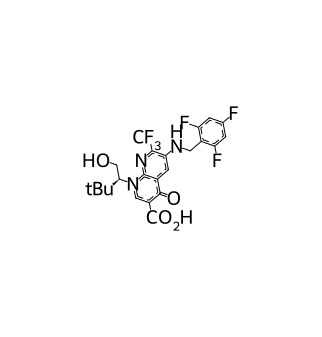 CC(C)(C)[C@@H](CO)n1cc(C(=O)O)c(=O)c2cc(NCc3c(F)cc(F)cc3F)c(C(F)(F)F)nc21